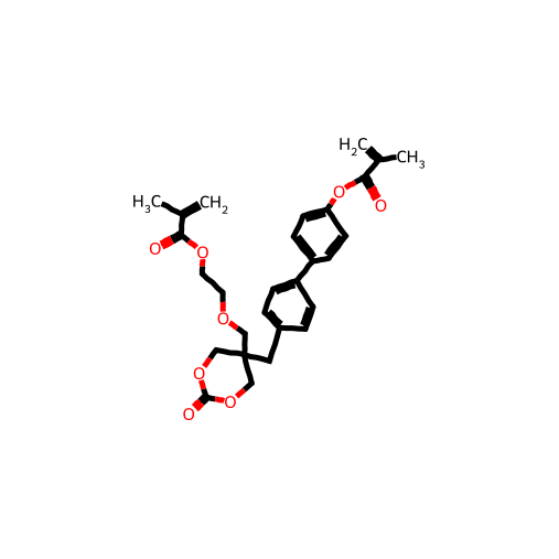 C=C(C)C(=O)OCCOCC1(Cc2ccc(-c3ccc(OC(=O)C(=C)C)cc3)cc2)COC(=O)OC1